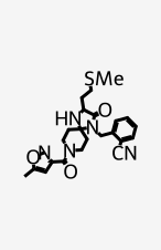 CSCCC1NC2(CCN(C(=O)c3cc(C)on3)CC2)N(Cc2ccccc2C#N)C1=O